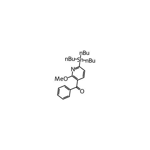 CCC[CH2][Sn]([CH2]CCC)([CH2]CCC)[c]1ccc(C(=O)c2ccccc2)c(OC)n1